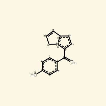 O=C(c1ccc(O)cc1)c1ccc2n1CC=C2